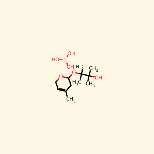 CC1=CCOC(OC(C)(C)C(C)(C)O)C1.OB(O)O